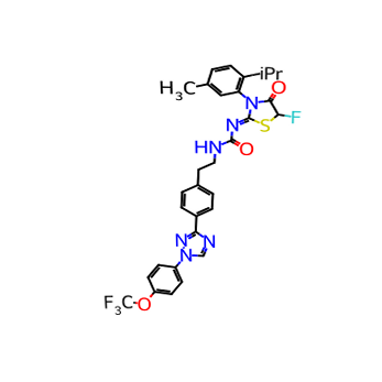 Cc1ccc(C(C)C)c(N2C(=O)C(F)S/C2=N\C(=O)NCCc2ccc(-c3ncn(-c4ccc(OC(F)(F)F)cc4)n3)cc2)c1